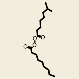 CCCCCCCCC(=O)OOC(=O)CCCCCC(C)C